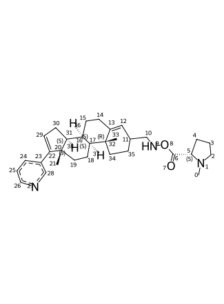 CN1CCC[C@H]1C(=O)ONCC1C=C2CC[C@H]3[C@H](CC[C@]4(C)C(c5cccnc5)=CC[C@@H]34)[C@@]2(C)CC1